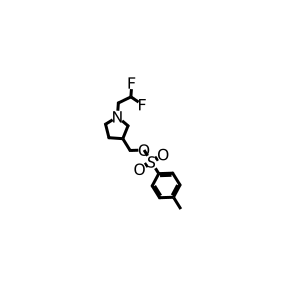 Cc1ccc(S(=O)(=O)OCC2CCN(CC(F)F)C2)cc1